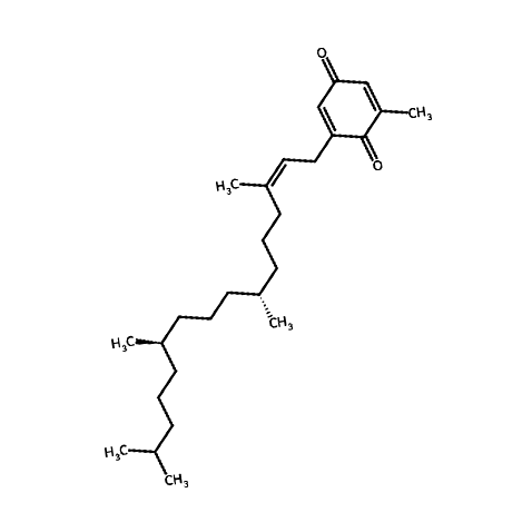 CC(=CCC1=CC(=O)C=C(C)C1=O)CCC[C@H](C)CCC[C@H](C)CCCC(C)C